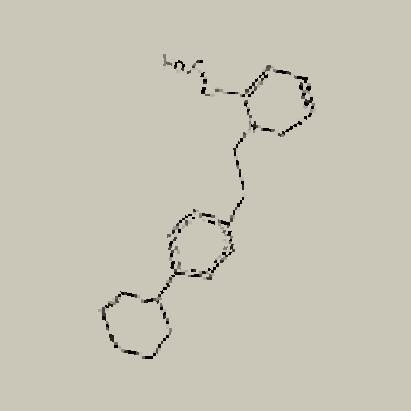 O=C(O)OC1=CC=CCN1CCc1ccc(C2CCCCC2)cc1